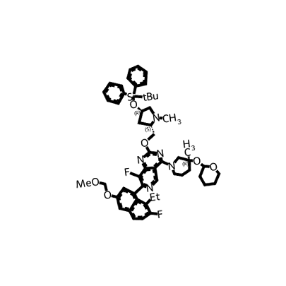 CCc1c(F)ccc2cc(OCOC)cc(-c3ncc4c(N5CCC[C@@](C)(OC6CCCCO6)C5)nc(OC[C@@H]5C[C@@H](O[Si](c6ccccc6)(c6ccccc6)C(C)(C)C)CN5C)nc4c3F)c12